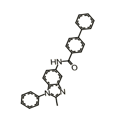 Cc1nc2cc(NC(=O)c3ccc(-c4ccccc4)cc3)ccc2n1-c1ccccc1